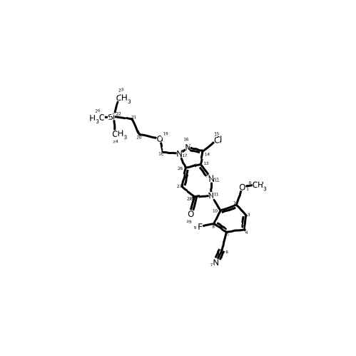 COc1ccc(C#N)c(F)c1-n1nc2c(Cl)nn(COCC[Si](C)(C)C)c2cc1=O